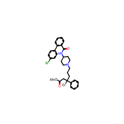 CCC(CCCN1CCC(NC(=O)c2ccccc2-c2ccc(Br)cc2)CC1)(CC(=O)OC)c1ccccc1